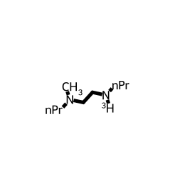 [3H]N(CCC)CCN(C)CCC